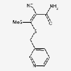 CS/C(SCc1cccnc1)=C(\C#N)C(N)=O